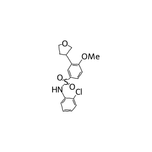 COc1ccc(S(=O)(=O)Nc2ccccc2Cl)cc1C1CCOC1